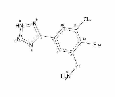 NCc1cc(-c2nn[nH]n2)cc(Cl)c1F